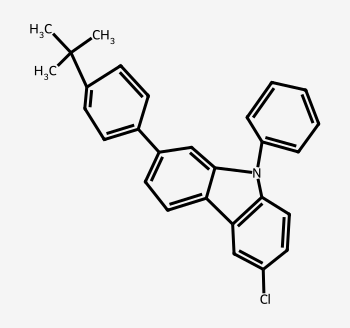 CC(C)(C)c1ccc(-c2ccc3c4cc(Cl)ccc4n(-c4ccccc4)c3c2)cc1